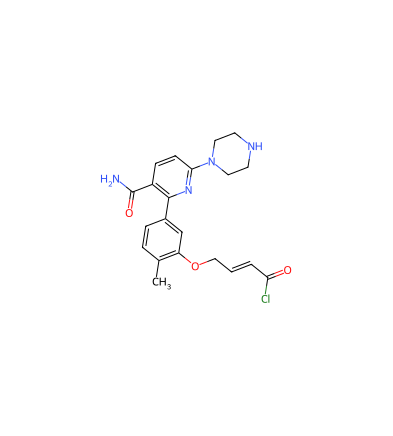 Cc1ccc(-c2nc(N3CCNCC3)ccc2C(N)=O)cc1OC/C=C/C(=O)Cl